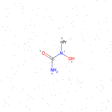 CCCN(O)C(N)=O